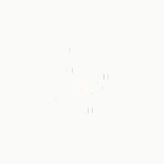 CC[P+](CC)(CC)CC.[F-].[F-].[F-].[H+].[H+]